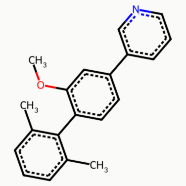 COc1cc(-c2cccnc2)ccc1-c1c(C)cccc1C